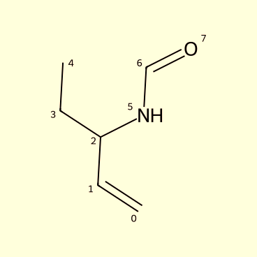 C=CC(CC)NC=O